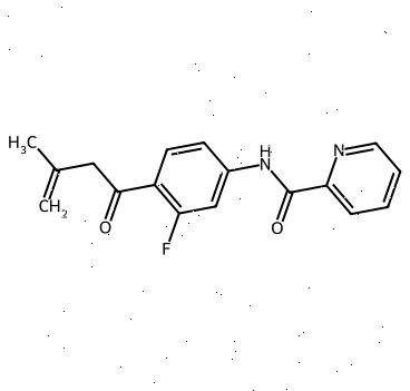 C=C(C)CC(=O)c1ccc(NC(=O)c2ccccn2)cc1F